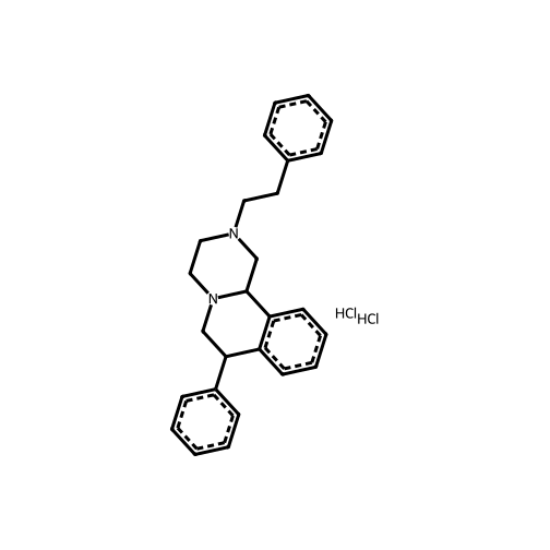 Cl.Cl.c1ccc(CCN2CCN3CC(c4ccccc4)c4ccccc4C3C2)cc1